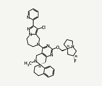 CN1Cc2c(nc(OC[C@@]34CCCN3C[C@H](F)C4)nc2N2CCCn3nc(-c4ccccn4)c(Cl)c3C2)C[C@]12CCCc1ccccc12